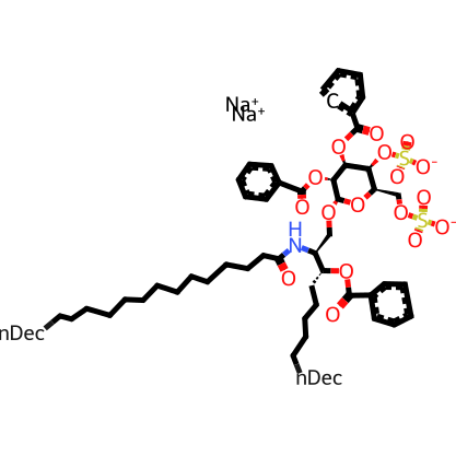 CCCCCCCCCCCCCCCCCCCCCCCC(=O)N[C@@H](CO[C@@H]1O[C@H](COS(=O)(=O)[O-])[C@H](OS(=O)(=O)[O-])[C@H](OC(=O)c2ccccc2)[C@H]1OC(=O)c1ccccc1)[C@@H](CCCCCCCCCCCCCCC)OC(=O)c1ccccc1.[Na+].[Na+]